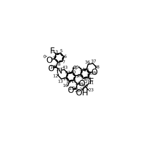 COc1c(F)cccc1C(=O)N1CCc2c(C)c(C(OC(C)(C)C)C(=O)O)c(-c3cc(F)c4c(c3C)CCCO4)c(C)c2C1